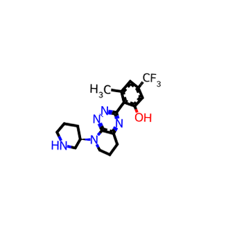 Cc1cc(C(F)(F)F)cc(O)c1-c1nnc2c(n1)CCCN2[C@@H]1CCCNC1